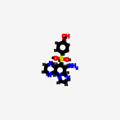 Nc1c(S(=O)(=O)c2ccc(O)cc2)c2nccnc2n2ccnc12